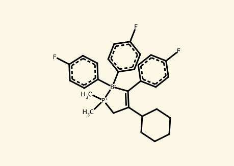 C[P+]1(C)CC(C2CCCCC2)=C(c2ccc(F)cc2)[B-]1(c1ccc(F)cc1)c1ccc(F)cc1